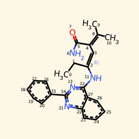 CC/C(=C\C(C(N)=O)=C(C)C)Nc1nc(-c2ccccc2)nc2ccccc12